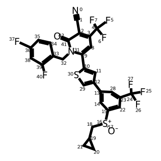 N#Cc1c(C(F)(F)F)cc(-c2cc(-c3cc([S+]([O-])CC4CC4)cc(C(F)(F)F)c3)cs2)n(Cc2ccc(F)cc2F)c1=O